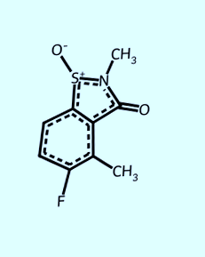 Cc1c(F)ccc2c1c(=O)n(C)[s+]2[O-]